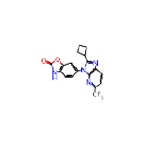 O=c1[nH]c2ccc(-n3c(C4CCC4)nc4ccc(C(F)(F)F)nc43)cc2o1